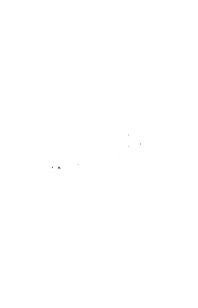 COOSCCOCC1CC1